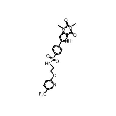 Cn1c(=O)c2[nH]c(-c3ccc(S(=O)(=O)NCCOc4ccc(C(F)(F)F)cn4)cc3)cc2n(C)c1=O